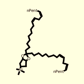 CCCCC/C=C\C/C=C\CCCCCCCCC1(CCCCCCCC/C=C\C/C=C\CCCCC)OC2CC([N+](C)(C)C)CC2O1